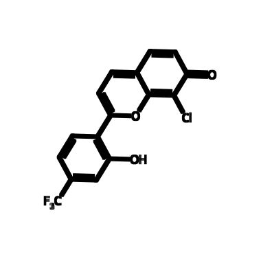 O=c1ccc2ccc(-c3ccc(C(F)(F)F)cc3O)oc-2c1Cl